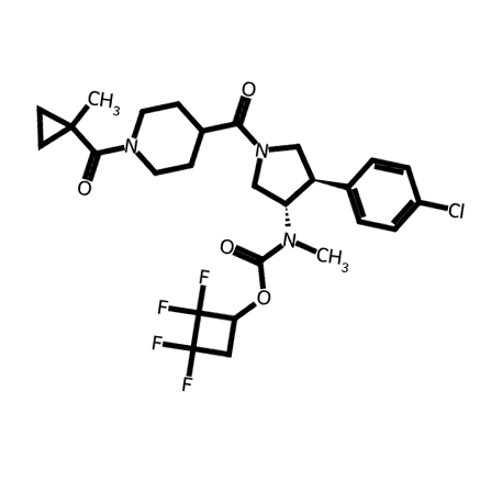 CN(C(=O)OC1CC(F)(F)C1(F)F)[C@@H]1CN(C(=O)C2CCN(C(=O)C3(C)CC3)CC2)C[C@H]1c1ccc(Cl)cc1